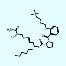 CCCCCC[C@H](C/C=C/CC[C@@H](O)C(N)=O)OC(=O)[C@@H]1CC=CN1C(=O)c1ccccc1OCOCC[Si](C)(C)C